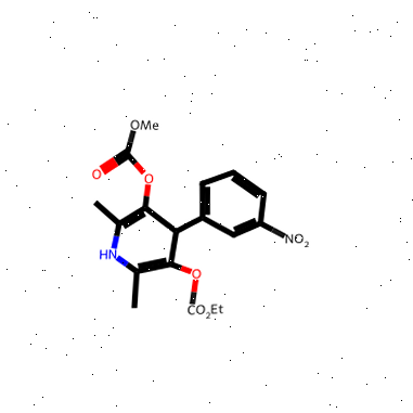 CCOC(=O)OC1=C(C)NC(C)=C(OC(=O)OC)C1c1cccc([N+](=O)[O-])c1